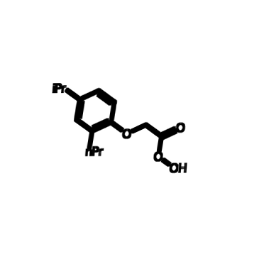 CCCc1cc(C(C)C)ccc1OCC(=O)OO